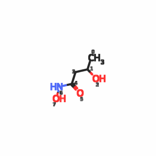 CC(O)CC(=O)NO